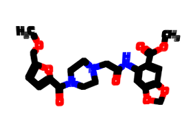 COCc1ccc(C(=O)N2CCN(CC(=O)Nc3cc4c(cc3C(=O)OC)OCO4)CC2)o1